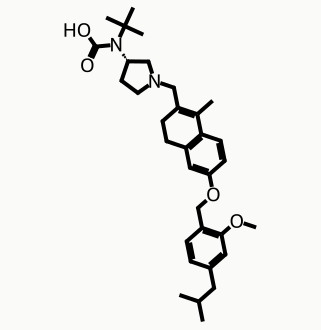 COc1cc(CC(C)C)ccc1COc1ccc2c(c1)CCC(CN1CC[C@H](N(C(=O)O)C(C)(C)C)C1)=C2C